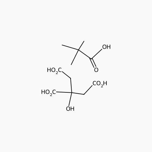 CC(C)(C)C(=O)O.O=C(O)CC(O)(CC(=O)O)C(=O)O